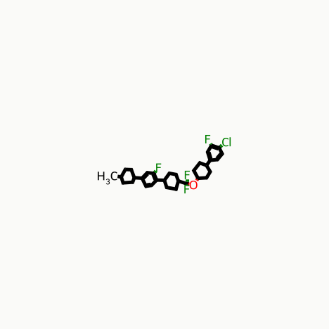 CC1CCC(c2ccc(C3CCC(C(F)(F)OC4CCC(c5ccc(Cl)c(F)c5)CC4)CC3)c(F)c2)CC1